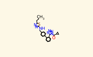 CCCc1nnc(NCc2ccc(-c3ccccc3-c3nnnn3C(=O)C3CC3)cc2)s1